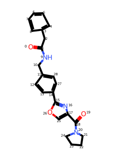 O=C(Cc1ccccc1)NCc1ccc(-c2nc(C(=O)N3CCCC3)co2)cc1